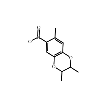 Cc1cc2c(cc1[N+](=O)[O-])OC(C)C(C)O2